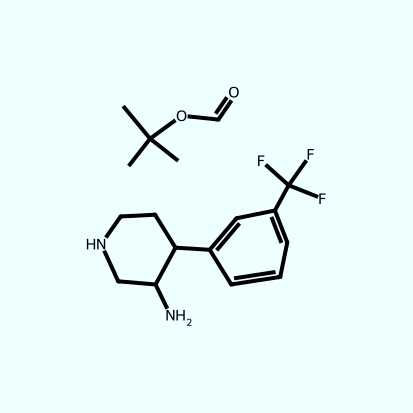 CC(C)(C)OC=O.NC1CNCCC1c1cccc(C(F)(F)F)c1